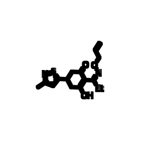 C=CCO/N=C(/CC)C1=C(O)CC(c2cc(C)ns2)CC1=O